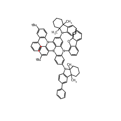 CC(C)(C)c1ccc2c(c1)B1c3ccc(N4c5ccc(-c6ccccc6)cc5C5(C)CCCCC45C)cc3N(c3cccc4c3oc3ccccc34)c3cc(N4c5ccccc5C5(C)CCCCC45C)cc(c31)N2c1ccc(C(C)(C)C)cc1-c1ccccc1